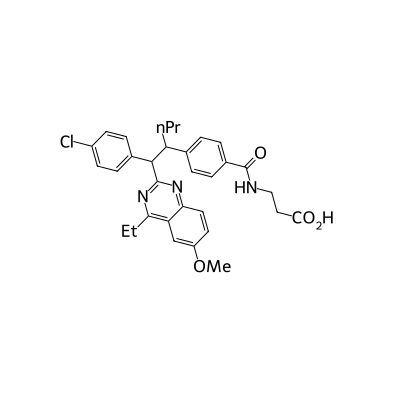 CCCC(c1ccc(C(=O)NCCC(=O)O)cc1)C(c1ccc(Cl)cc1)c1nc(CC)c2cc(OC)ccc2n1